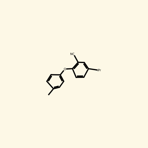 Cc1ccc(Oc2ccc(C(C)C)cc2C#N)cc1